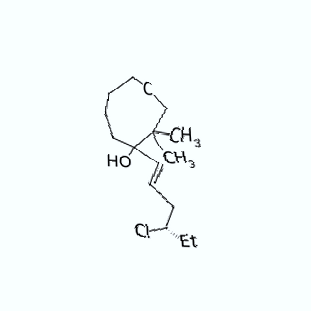 CC[C@H](Cl)C/C=C/C1(O)CCCCCCC1(C)C